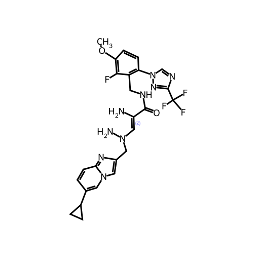 COc1ccc(-n2cnc(C(F)(F)F)n2)c(CNC(=O)/C(N)=C/N(N)Cc2cn3cc(C4CC4)ccc3n2)c1F